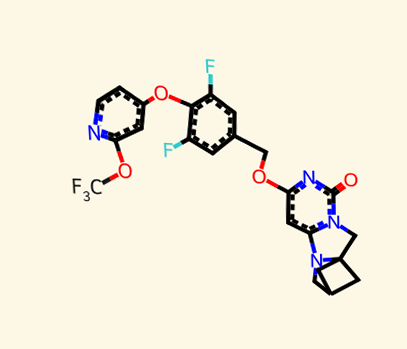 O=c1nc(OCc2cc(F)c(Oc3ccnc(OC(F)(F)F)c3)c(F)c2)cc2n1CC13CC(CN21)C3